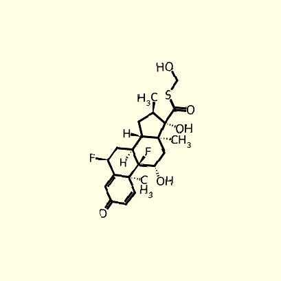 C[C@@H]1C[C@H]2[C@@H]3C[C@H](F)C4=CC(=O)C=C[C@]4(C)[C@@]3(F)[C@@H](O)C[C@]2(C)[C@]1(O)C(=O)SCO